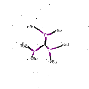 CCCCP(CCCC)B(P(CCCC)CCCC)P(CCCC)CCCC